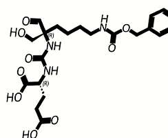 O=C[C@](CO)(CCCCNC(=O)OCc1ccccc1)NC(=O)N[C@H](CCC(=O)O)C(=O)O